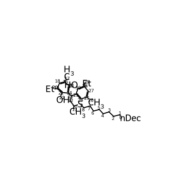 CCCCCCCCCCCCCCCCCCSC(C)CC(c1cc(C)cc(CC)c1O)c1cc(C)cc(CC)c1O